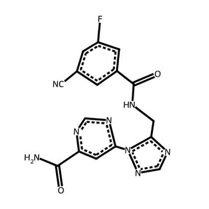 N#Cc1cc(F)cc(C(=O)NCc2ncnn2-c2cc(C(N)=O)ncn2)c1